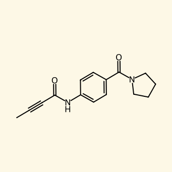 CC#CC(=O)Nc1ccc(C(=O)N2CCCC2)cc1